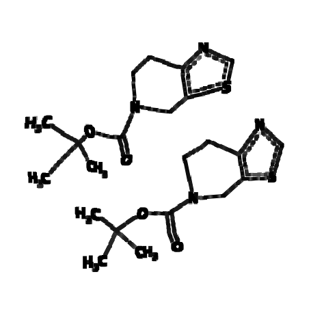 CC(C)(C)OC(=O)N1CCc2ncsc2C1.CC(C)(C)OC(=O)N1CCc2ncsc2C1